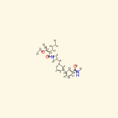 C/C=C\C(=C/CCC1CN(C(=O)/C(CCCC)=C(/CC)OCC)C1)c1cccc(C(=O)NC)c1